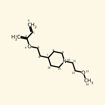 C=CC(=C)OCCC1CCN(CCOC)CC1